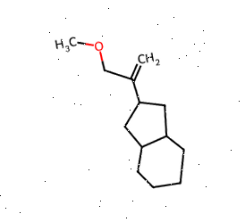 C=C(COC)C1CC2CCCCC2C1